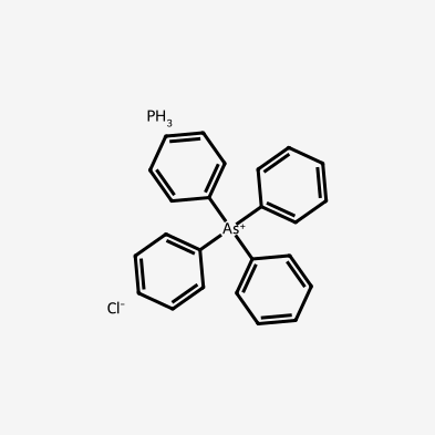 P.[Cl-].c1ccc([As+](c2ccccc2)(c2ccccc2)c2ccccc2)cc1